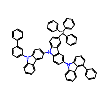 c1ccc(-c2cccc(-n3c4ccccc4c4cc(-n5c6ccc(-n7c8ccccc8c8c(-c9ccccc9)cccc87)cc6c6cc([Si](c7ccccc7)(c7ccccc7)c7ccccc7)ccc65)ccc43)c2)cc1